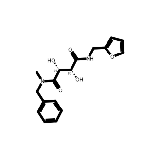 CN(Cc1ccccc1)C(=O)[C@H](O)[C@@H](O)C(=O)NCc1ccco1